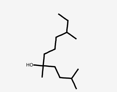 CCC(C)CCCC(C)(O)CCC(C)C